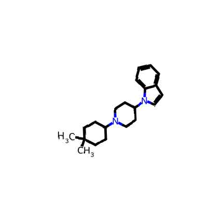 CC1(C)CCC(N2CCC(n3[c]cc4ccccc43)CC2)CC1